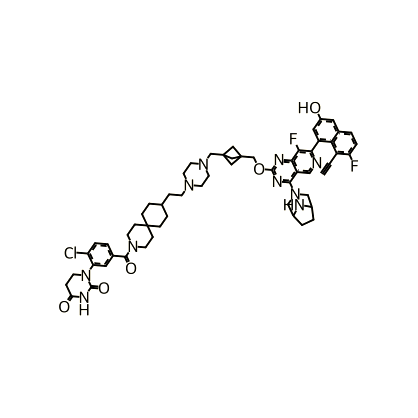 C#Cc1c(F)ccc2cc(O)cc(-c3ncc4c(N5CC6CCC(C5)N6)nc(OCC56CC(CN7CCN(CCC8CCC9(CC8)CCN(C(=O)c8ccc(Cl)c(N%10CCC(=O)NC%10=O)c8)CC9)CC7)(C5)C6)nc4c3F)c12